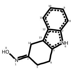 ON=C1CCc2[nH]c3ccccc3c2C1